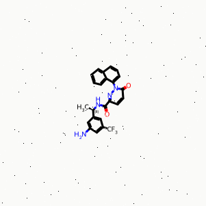 C[C@@H](NC(=O)c1ccc(=O)n(-c2cccc3ccccc23)n1)c1cc(N)cc(C(F)(F)F)c1